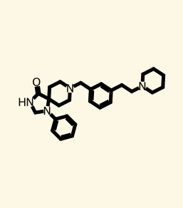 O=C1NCN(c2ccccc2)C12CCN(Cc1cccc(CCN3CCCCC3)c1)CC2